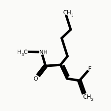 C=C(F)/C=C(\CCCC)C(=O)NC